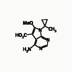 COc1c(C(=O)O)c2c(N)ncnc2n1C1(C)CC1